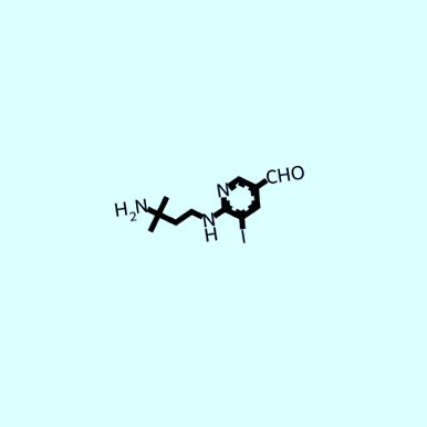 CC(C)(N)CCNc1ncc(C=O)cc1I